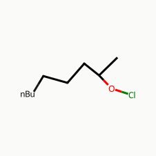 CCCCCCCC(C)OCl